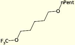 CCCCCOCCCCCOC(F)(F)F